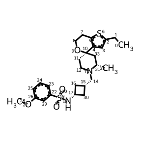 CCc1cc2c(s1)CCO[C@@]21CCN(C[C@H]2C[C@@H](NS(=O)(=O)c3cccc(OC)c3)C2)[C@@H](C)C1